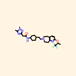 Cc1nc(CC(=O)NC2CCC(CCN3CCc4ccc(OC(C)C(F)(F)F)nc4CC3)CC2)nn1C